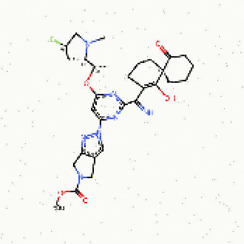 C[C@H](Oc1cc(-n2cc3c(n2)CN(C(=O)OC(C)(C)C)C3)nc(C(=N)C2=C(O)[C@]3(CCCCC3=O)CCC2)n1)[C@@H]1C[C@@H](F)CN1C